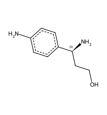 Nc1ccc([C@@H](N)CCO)cc1